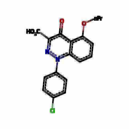 CCCOc1cccc2c1c(=O)c(C(=O)O)nn2-c1ccc(Cl)cc1